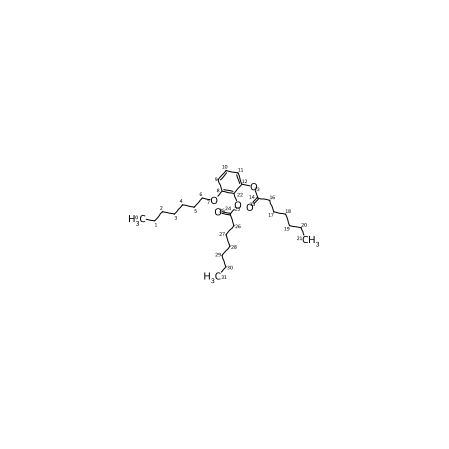 CCCCCCCOc1cccc(OC(=O)CCCCCC)c1OC(=O)CCCCCC